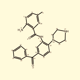 Cc1cnc(N)c(C(=O)Nc2cc(C(=O)c3ccccc3)ccc2N2CCNCC2)n1